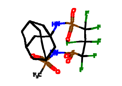 O=S(=O)(NS(=O)(=O)C(F)(F)C(F)(F)C(F)(F)S(=O)(=O)NC12CC3CC(CC(C3)C1)C2)C(F)(F)F